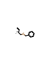 C=C[C@@H](C)CSCc1ccccc1